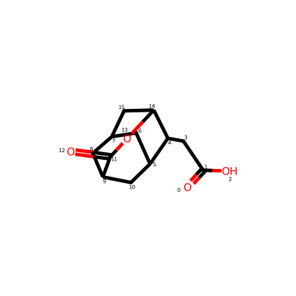 O=C(O)CC1C2CC3CC(C2)C(=O)OC1C3